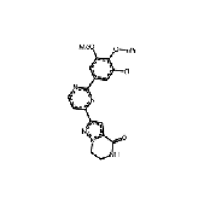 CCCOc1c(Cl)cc(-c2nccc(-c3cc4n(n3)CCNC4=O)n2)cc1OC